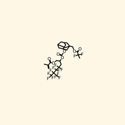 C=C(C)C(=O)OCC(CC(F)(F)C(F)(F)C(F)(C(F)(F)F)C(F)(F)F)OC(=O)OC12CC3CC(CC(COC(=O)C(C)(F)F)(C3)C1)C2